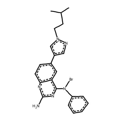 CC(C)CCn1cc(-c2ccc3nc(N)nc(N(Br)c4ccccc4)c3c2)cn1